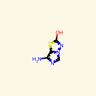 Nc1ncn2nc(O)sc12